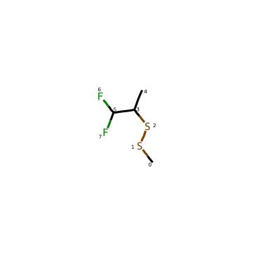 CSSC(C)C(F)F